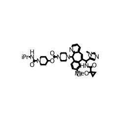 COC1(C(=O)NC(C2=Cc3cccnc3C(N3CCN(C(=O)OC4CCN(C(=O)NC(C)C)CC4)CC3)c3ccc(Cl)cc32)c2cncn2C)CC1